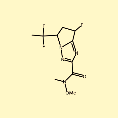 CON(C)C(=O)c1nc2n(n1)C(C(C)(F)F)CC2F